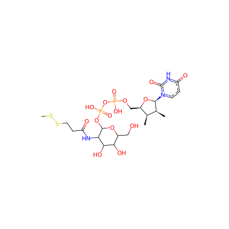 CSSCCC(=O)NC1C(OP(=O)(O)OP(=O)(O)OC[C@H]2O[C@@H](n3ccc(=O)[nH]c3=O)[C@@H](C)[C@H]2C)OC(CO)C(O)C1O